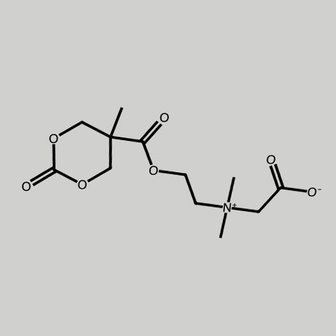 CC1(C(=O)OCC[N+](C)(C)CC(=O)[O-])COC(=O)OC1